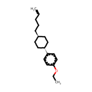 C=CCCC[C@H]1CC[C@H](c2ccc(OCC)cc2)CC1